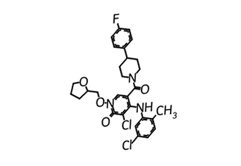 Cc1ccc(Cl)cc1Nc1c(C(=O)N2CCC(c3ccc(F)cc3)CC2)cn(OCC2CCCO2)c(=O)c1Cl